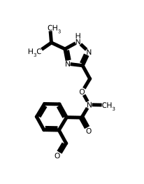 CC(C)c1nc(CON(C)C(=O)c2ccccc2C=O)n[nH]1